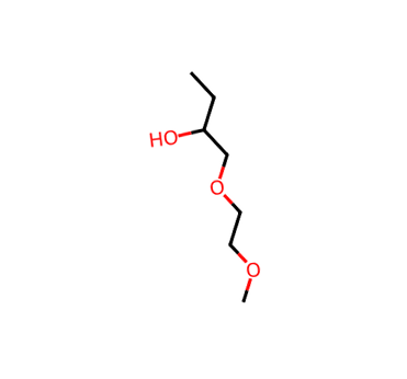 CCC(O)COCCOC